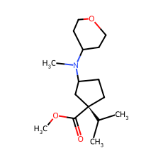 COC(=O)[C@@]1(C(C)C)CCC(N(C)C2CCOCC2)C1